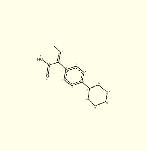 CC=C(C(=O)O)c1ccc(C2CCCCC2)cc1